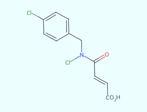 O=C(O)C=CC(=O)N(Cl)Cc1ccc(Cl)cc1